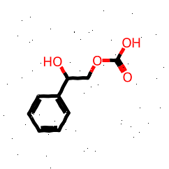 O=C(O)OCC(O)c1ccccc1